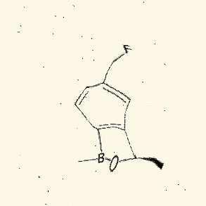 CB1O[C@H](C)c2cc(F)ccc21